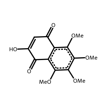 COc1c(OC)c(OC)c2c(c1OC)C(=O)C=C(O)C2=O